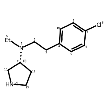 CCN(CCc1ccc(Cl)cc1)[C@@H]1CCNC1